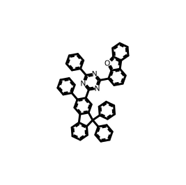 c1ccc(-c2nc(-c3cc4c(cc3-c3ccccc3)-c3ccccc3C4(c3ccccc3)c3ccccc3)nc(-c3cccc4c3oc3ccccc34)n2)cc1